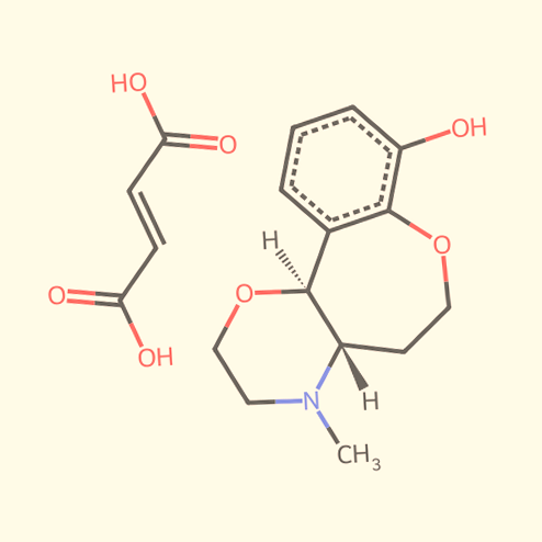 CN1CCO[C@H]2c3cccc(O)c3OCC[C@@H]21.O=C(O)C=CC(=O)O